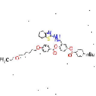 C=CCOCCCCCCOc1ccc(C(=O)Oc2ccc(OC(=O)C3CCC(CCCC)CC3)cc2C=NNc2nc3ccccc3s2)cc1